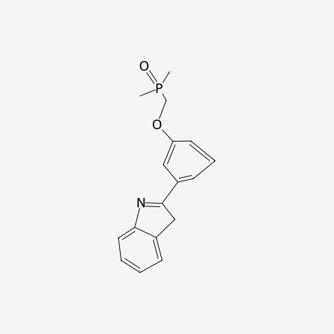 CP(C)(=O)COc1cccc(C2=Nc3ccccc3C2)c1